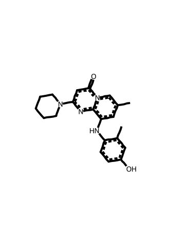 Cc1cc(Nc2ccc(O)cc2C)c2nc(N3CCCCC3)cc(=O)n2c1